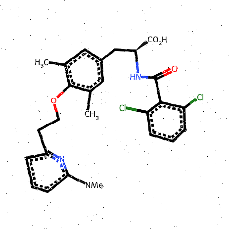 CNc1cccc(CCOc2c(C)cc(C[C@H](NC(=O)c3c(Cl)cccc3Cl)C(=O)O)cc2C)n1